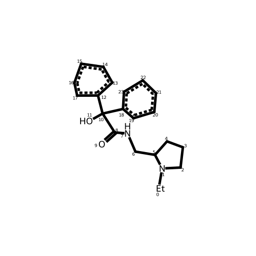 CCN1CCCC1CNC(=O)C(O)(c1ccccc1)c1ccccc1